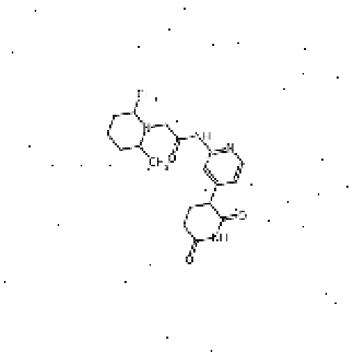 CC1CCCC(C)N1CC(=O)Nc1cc(C2CCC(=O)NC2=O)ccn1